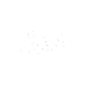 CN(C)c1cc(-c2ccccn2)c2c(c1O)C(=O)C1=C(O)[C@]3(O)C(=O)C(C(N)=O)=C(O)C[C@@H]3C[C@@H]1C2